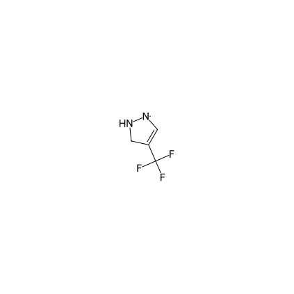 FC(F)(F)C1=C[N]NC1